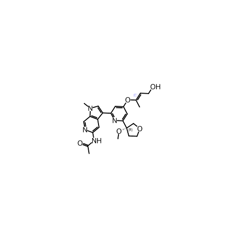 CO[C@@]1(c2cc(O/C(C)=C/CO)cc(-c3cn(C)c4cnc(NC(C)=O)cc34)n2)CCOC1